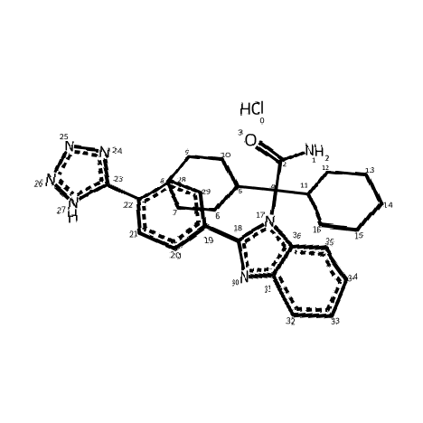 Cl.NC(=O)C(C1CCCCC1)(C1CCCCC1)n1c(-c2ccc(-c3nnn[nH]3)cc2)nc2ccccc21